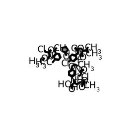 CC(C)=C1OC(=O)N(c2cc(OC3CCCC3)c(Cl)cc2F)C1=O.CC1COc2ccccc2N1C(=O)C(Cl)Cl.CCc1cccc(CC)c1N(COC)C(=O)CCl.CP(=O)(O)CCC(N)C(=O)O